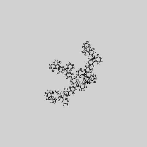 C=C1/C=C(n2c3ccccc3c3cc(-c4ccc5c(c4)c4cc(-c6ccc7c(c6)c6ccccc6n7-c6ccc7c(c6)C(C)(C)c6ccccc6-7)ccc4n5-c4cccc(-c5nc(-n6c7ccccc7c7cc(-c8ccc9c(c8)c8ccccc8n9-c8ccc9c(c8)C(C)(C)c8ccccc8-9)ccc76)c6ccccc6n5)c4)ccc32)\C=C/Cc2ccccc2C1(C)C